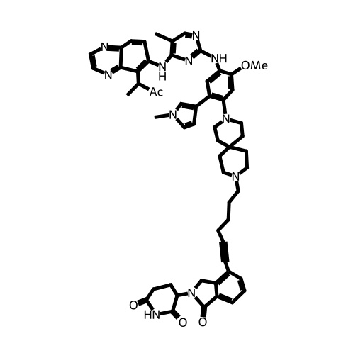 COc1cc(N2CCC3(CCN(CCCCC#Cc4cccc5c4CN(C4CCC(=O)NC4=O)C5=O)CC3)CC2)c(-c2ccn(C)c2)cc1Nc1ncc(C)c(Nc2ccc3nccnc3c2C(C)C(C)=O)n1